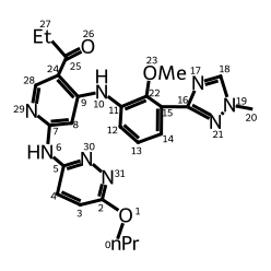 CCCOc1ccc(Nc2cc(Nc3cccc(-c4ncn(C)n4)c3OC)c(C(=O)CC)cn2)nn1